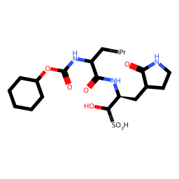 CC(C)CC(NC(=O)OC1CCCCC1)C(=O)N[C@@H](CC1CCNC1=O)C(O)S(=O)(=O)O